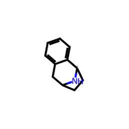 c1ccc2c(c1)CC1CC[C]2N1